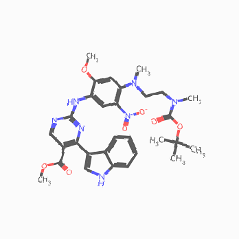 COC(=O)c1cnc(Nc2cc([N+](=O)[O-])c(N(C)CCN(C)C(=O)OC(C)(C)C)cc2OC)nc1-c1c[nH]c2ccccc12